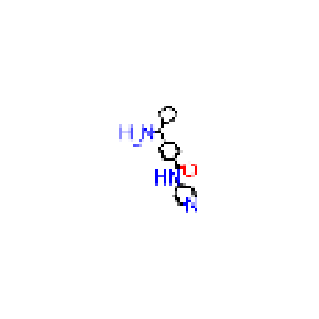 NC(c1ccc(C(=O)Nc2ccncc2)cc1)C1CCCC1